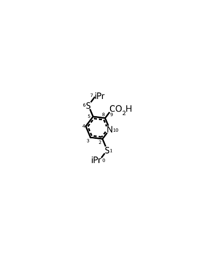 CC(C)Sc1ccc(SC(C)C)c(C(=O)O)n1